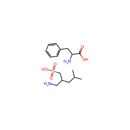 CC(C)CC(CN)CS(=O)(=O)O.NC(Cc1ccccc1)C(=O)O